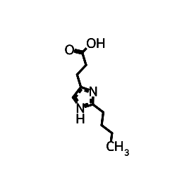 CCCCc1nc(CCC(=O)O)c[nH]1